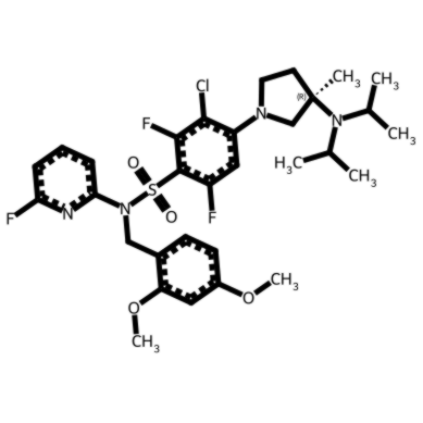 COc1ccc(CN(c2cccc(F)n2)S(=O)(=O)c2c(F)cc(N3CC[C@@](C)(N(C(C)C)C(C)C)C3)c(Cl)c2F)c(OC)c1